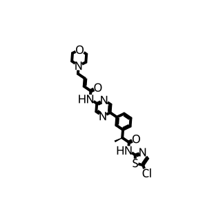 C[C@H](C(=O)Nc1ncc(Cl)s1)c1cccc(-c2cnc(NC(=O)/C=C/CN3CCOCC3)cn2)c1